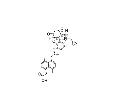 Cc1ccc(CC(=O)Oc2ccc3c4c2O[C@H]2C(=O)CC[C@@]5(O)[C@@H](C3)N(CC3CC3)CC[C@]425)c2c(C)ccc(CC(=O)O)c12